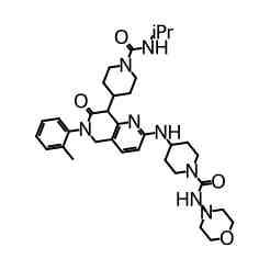 Cc1ccccc1N1Cc2ccc(NC3CCN(C(=O)NN4CCOCC4)CC3)nc2C(C2CCN(C(=O)NC(C)C)CC2)C1=O